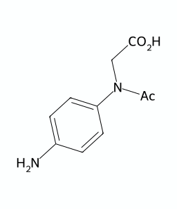 CC(=O)N(CC(=O)O)c1ccc(N)cc1